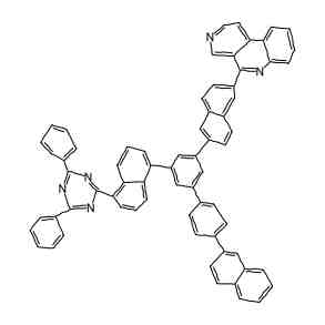 c1ccc(-c2nc(-c3ccccc3)nc(-c3cccc4c(-c5cc(-c6ccc(-c7ccc8ccccc8c7)cc6)cc(-c6ccc7cc(-c8nc9ccccc9c9ccncc89)ccc7c6)c5)cccc34)n2)cc1